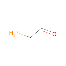 O=CCP